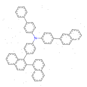 c1ccc(-c2ccc(N(c3ccc(-c4ccc5ccccc5c4)cc3)c3ccc(-c4c(-c5cccc6ccccc56)ccc5ccccc45)cc3)cc2)cc1